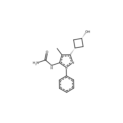 Cc1c(NC(N)=O)n(-c2ccccc2)nc1[C@H]1C[C@@H](O)C1